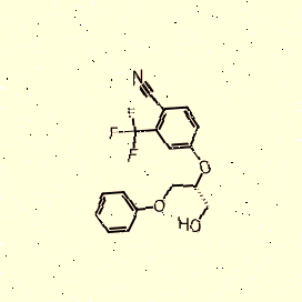 N#Cc1ccc(O[C@H](CO)COc2ccccc2)cc1C(F)(F)F